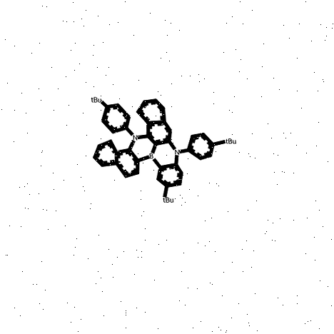 CC(C)(C)c1ccc(N2c3ccc(C(C)(C)C)cc3B3c4ccc5ccccc5c4N(c4ccc(C(C)(C)C)cc4)c4c3c2cc2ccccc42)cc1